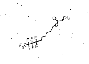 C=CC(=O)OCCCCCCC(F)(F)C(F)(F)C(F)(F)C(F)(F)F